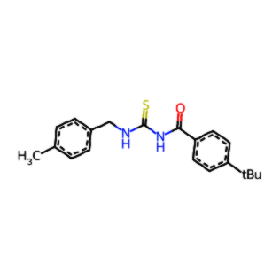 Cc1ccc(CNC(=S)NC(=O)c2ccc(C(C)(C)C)cc2)cc1